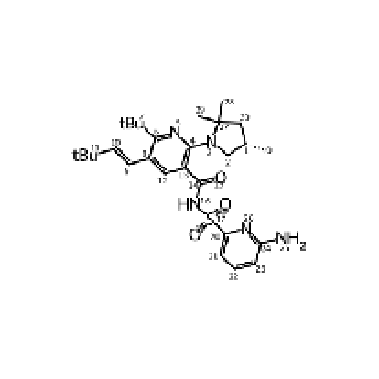 C[C@@H]1CN(c2nc(C(C)(C)C)c(/C=C/C(C)(C)C)cc2C(=O)NS(=O)(=O)c2cccc(N)n2)C(C)(C)C1